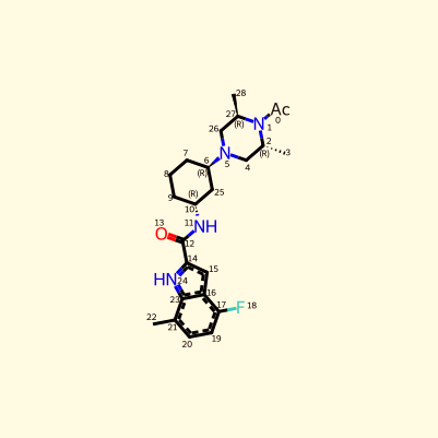 CC(=O)N1[C@H](C)CN([C@@H]2CCC[C@@H](NC(=O)c3cc4c(F)ccc(C)c4[nH]3)C2)C[C@H]1C